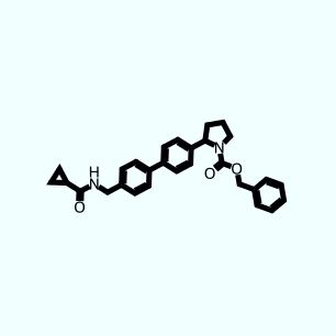 O=C(NCc1ccc(-c2ccc(C3CCCN3C(=O)OCc3ccccc3)cc2)cc1)C1CC1